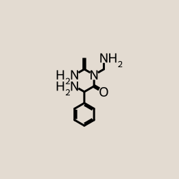 C=C(N)N(CN)C(=O)C(N)c1ccccc1